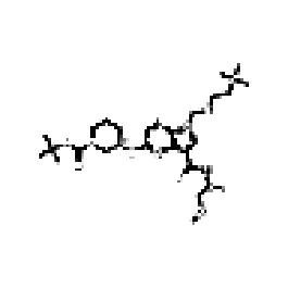 COC[C@H](C)NC(=O)c1cn(COCCS(C)(C)C)c2ncc(O[C@@H]3CCCN(C(=O)OC(C)(C)C)C3)nc12